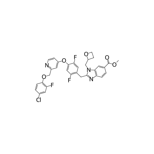 COC(=O)c1ccc2nc(Cc3cc(F)c(Oc4ccnc(COc5ccc(Cl)cc5F)c4)cc3F)n(CC3CCO3)c2c1